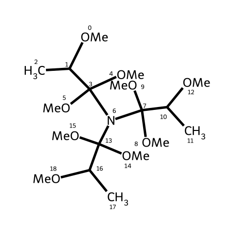 COC(C)C(OC)(OC)N(C(OC)(OC)C(C)OC)C(OC)(OC)C(C)OC